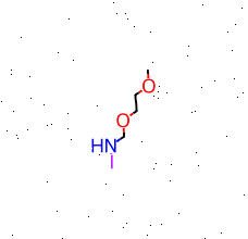 COCCOCNI